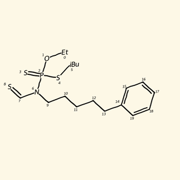 CCOP(=S)(SC(C)CC)N(C=S)CCCCCc1ccccc1